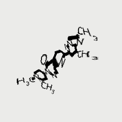 Cc1cn2nc(-c3ccc4c(=O)n([C@H]5CCN(C)[C@@H](C)C5)ncc4n3)cc(C)c2n1